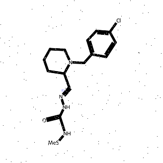 CSNC(=O)N/N=C/C1CCCCN1Cc1ccc(Cl)cc1